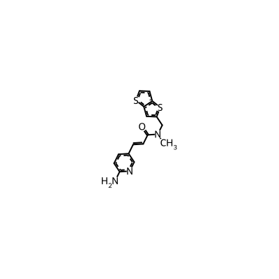 CN(Cc1cc2sccc2s1)C(=O)C=Cc1ccc(N)nc1